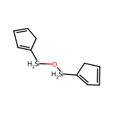 C1=CCC([SiH2]O[SiH2]C2=CC=CC2)=C1